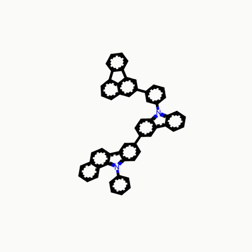 c1ccc(-n2c3ccc(-c4ccc5c(c4)c4ccccc4n5-c4cccc(-c5cc6c7c(cccc7c5)-c5ccccc5-6)c4)cc3c3ccc4ccccc4c32)cc1